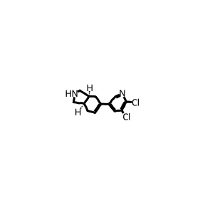 Clc1cc(C2=CC[C@H]3CNC[C@H]3C2)cnc1Cl